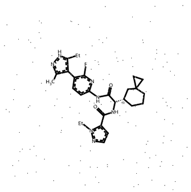 CCc1[nH]nc(C)c1-c1ccc(NC(=O)C(NC(=O)c2ccnn2CC)[C@H]2CCCC3(CC3)C2)nc1F